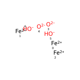 [Fe+2].[Fe+2].[Fe+2].[O-2].[O-2].[OH-].[OH-]